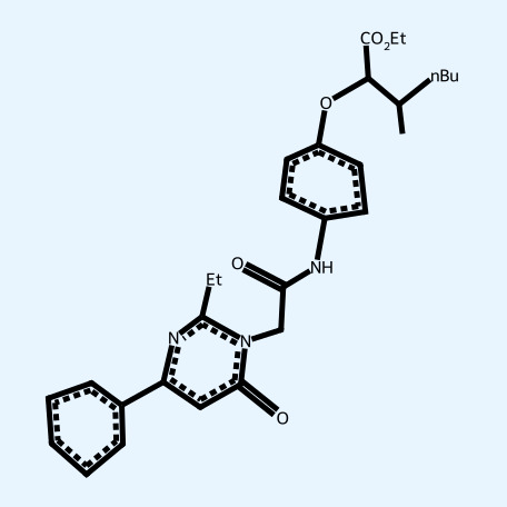 CCCCC(C)C(Oc1ccc(NC(=O)Cn2c(CC)nc(-c3ccccc3)cc2=O)cc1)C(=O)OCC